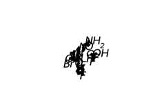 CC(C)n1c(N2CCN(CC(N)=O)CC2)nc(OCc2ccc(F)cc2F)c(Br)c1=O.O=C(O)C(F)(F)F